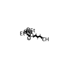 C#CCCCCOC(=O)CP(=O)(OCC)OCC